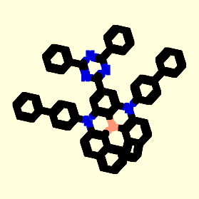 c1ccc(-c2ccc(N3c4cc(-c5nc(-c6ccccc6)nc(-c6ccccc6)n5)cc5c4B(c4c3ccc3ccccc43)c3c(ccc4ccccc34)N5c3ccc(-c4ccccc4)cc3)cc2)cc1